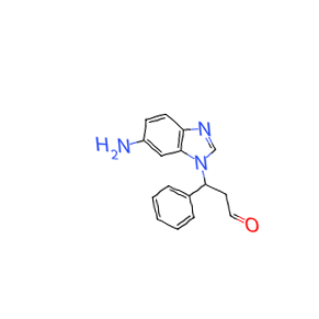 Nc1ccc2ncn(C(CC=O)c3ccccc3)c2c1